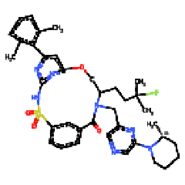 Cc1cccc(C)c1-c1cc2nc(n1)NS(=O)(=O)c1cccc(c1)C(=O)N(Cc1cncc(N3CCCC[C@H]3C)n1)C(CCC(C)(C)F)CO2